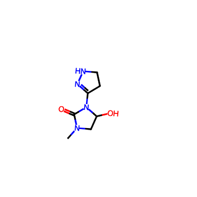 CN1CC(O)N(C2=NNCC2)C1=O